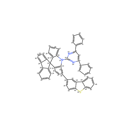 c1ccc(-c2cc(-c3ccccc3)nc(N3c4ccccc4C4(c5ccccc5-c5ccccc54)c4ccc(-c5ccc6sc7ccccc7c6c5)cc43)n2)cc1